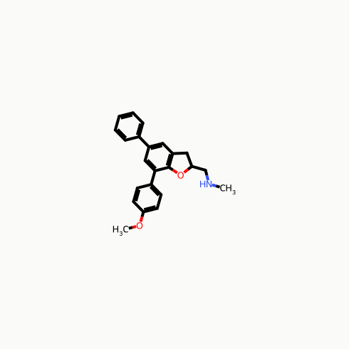 CNCC1Cc2cc(-c3ccccc3)cc(-c3ccc(OC)cc3)c2O1